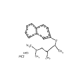 CC(CN(C)C)N(C)Oc1ccc2ccccc2c1.Cl.Cl